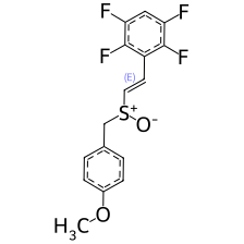 COc1ccc(C[S+]([O-])/C=C/c2c(F)c(F)cc(F)c2F)cc1